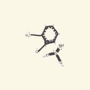 Cc1ccccc1Cl.N=S(=O)=O